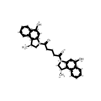 C[C@@H]1CN(C(=O)CCCC(=O)N2C[C@@H](C)c3c2cc(O)c2ccccc32)c2cc(O)c3ccccc3c21